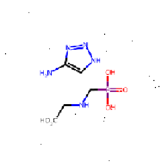 Nc1c[nH]nn1.O=C(O)CNCP(=O)(O)O